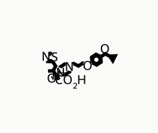 CC(Cc1cncs1)[N+]([O-])(C(=O)O)N1CCN(CCCOc2ccc(C(=O)C3CC3)cc2)CC1